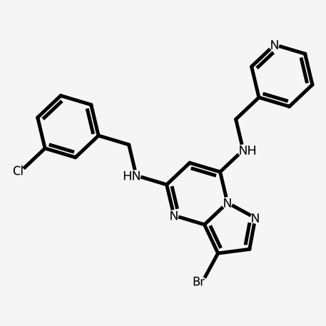 Clc1cccc(CNc2cc(NCc3cccnc3)n3ncc(Br)c3n2)c1